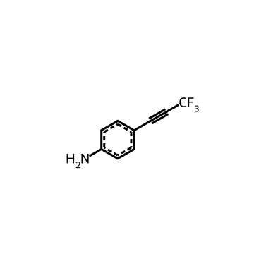 Nc1ccc(C#CC(F)(F)F)cc1